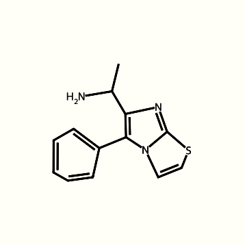 CC(N)c1nc2sccn2c1-c1ccccc1